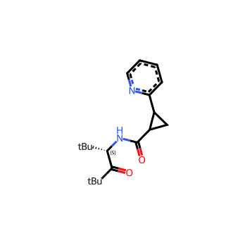 CC(C)(C)C(=O)[C@@H](NC(=O)C1CC1c1ccccn1)C(C)(C)C